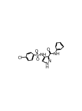 O=C(Nc1ccccc1)c1n[nH]cc1NS(=O)(=O)c1ccc(Cl)cc1